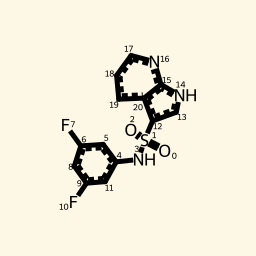 O=S(=O)(Nc1cc(F)cc(F)c1)c1c[nH]c2ncccc12